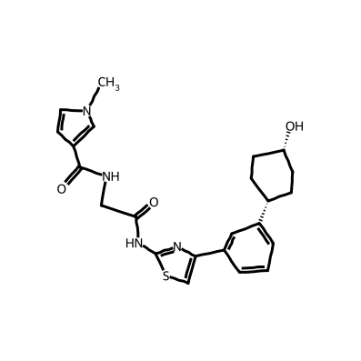 Cn1ccc(C(=O)NCC(=O)Nc2nc(-c3cccc([C@H]4CC[C@@H](O)CC4)c3)cs2)c1